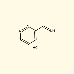 Cl.N=Cc1cccnn1